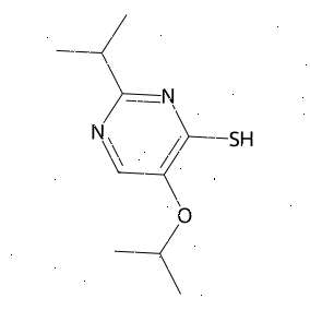 CC(C)Oc1cnc(C(C)C)nc1S